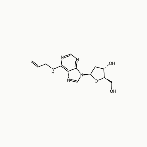 C=CCNc1ncnc2c1ncn2[C@H]1C[C@H](O)[C@@H](CO)O1